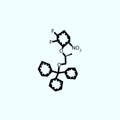 C[C@@H](COC(c1ccccc1)(c1ccccc1)c1ccccc1)Oc1c([N+](=O)[O-])ccc(F)c1F